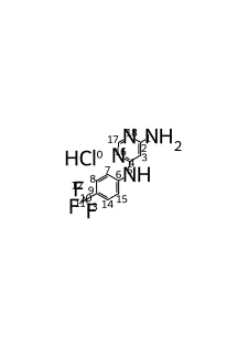 Cl.Nc1cc(Nc2ccc(C(F)(F)F)cc2)ncn1